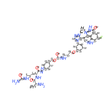 CC(C)[C@H](N)C(=O)N[C@@H](CCCNC(N)=O)C(=O)Nc1ccc(COC(=O)NCCCOc2ccc([C@H]3Nc4cc(F)cc5c(=O)[nH]nc(c45)[C@@H]3c3ncnn3C)cc2)cc1